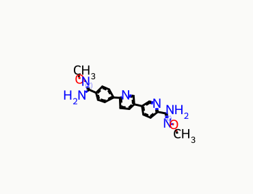 CO/N=C(\N)c1ccc(-c2ccc(-c3ccc(/C(N)=N/OC)nc3)cn2)cc1